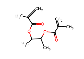 C=C(C)C(=O)OC(C)C(C)OC(=O)C(=C)C